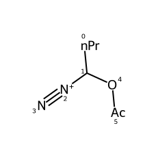 CCCC([N+]#N)OC(C)=O